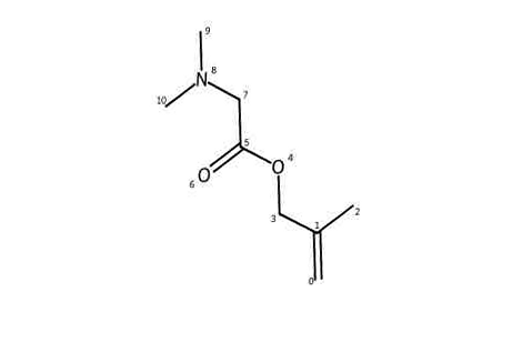 C=C(C)COC(=O)CN(C)C